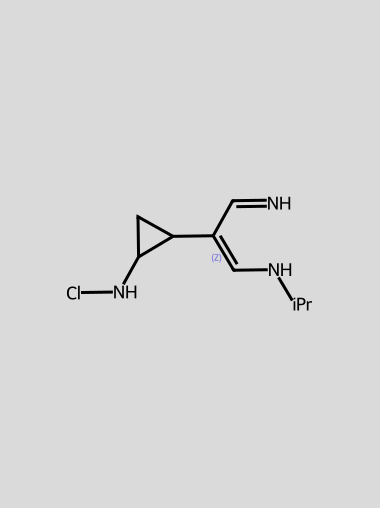 CC(C)N/C=C(\C=N)C1CC1NCl